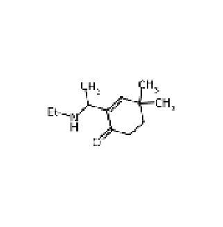 CCNC(C)C1=CC(C)(C)CCC1=O